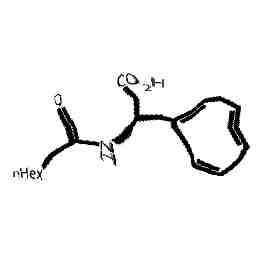 CCCCCCC(=O)NC(C(=O)O)c1ccccc1